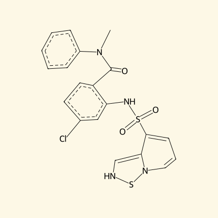 CN(C(=O)c1ccc(Cl)cc1NS(=O)(=O)C1=CC=CN2SNC=C12)c1ccccc1